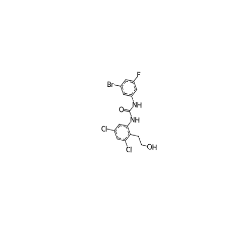 O=C(Nc1cc(F)cc(Br)c1)Nc1cc(Cl)cc(Cl)c1CCO